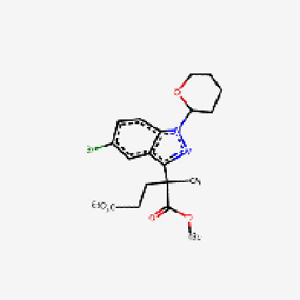 CCOC(=O)CCC(C#N)(C(=O)OC(C)(C)C)c1nn(C2CCCCO2)c2ccc(Br)cc12